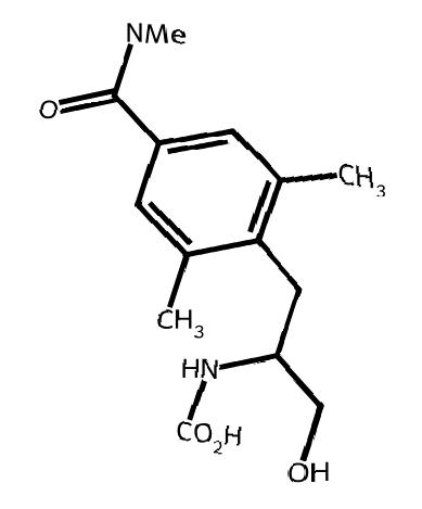 CNC(=O)c1cc(C)c(CC(CO)NC(=O)O)c(C)c1